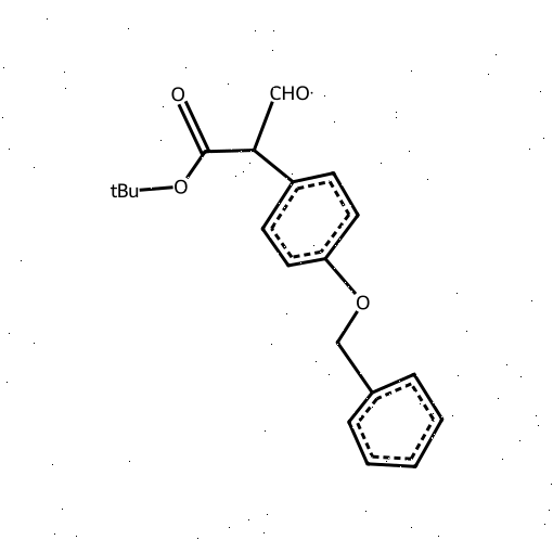 CC(C)(C)OC(=O)C([C]=O)c1ccc(OCc2ccccc2)cc1